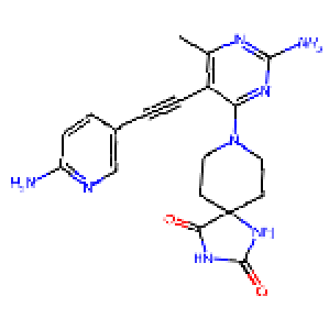 Cc1nc(N)nc(N2CCC3(CC2)NC(=O)NC3=O)c1C#Cc1ccc(N)nc1